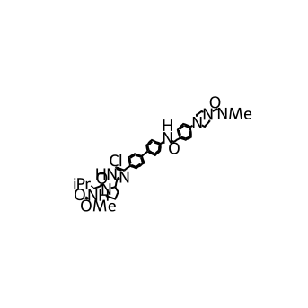 CNC(=O)N1CCN(c2ccc(C(=O)Nc3ccc(-c4ccc(-c5nc(C6CCCN6C(=O)[C@@H](NC(=O)OC)C(C)C)[nH]c5Cl)cc4)cc3)cc2)CC1